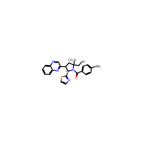 CC(C)CC1(C(=O)O)CC(c2cnc3ccccc3n2)[C@H](c2nccs2)N1C(=O)c1ccc(C(C)(C)C)cc1